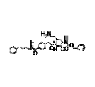 NCCCCC(NC(=O)OCc1ccccc1)C(=O)c1noc(Cc2ccc(C(=O)NCCCCc3ccccc3)cc2)n1